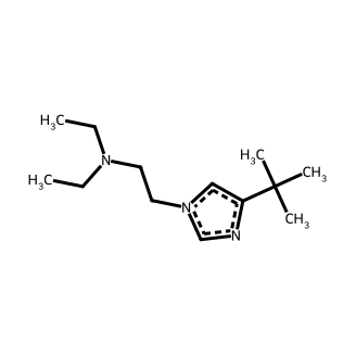 CCN(CC)CCn1cnc(C(C)(C)C)c1